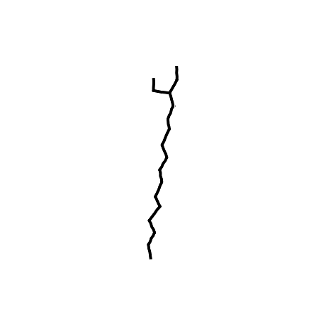 CCCCCCCCCCCC[CH]C(CC)CC